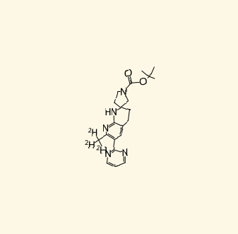 [2H]C([2H])([2H])c1nc2c(cc1-c1ncccn1)CCC1(CCN(C(=O)OC(C)(C)C)C1)N2